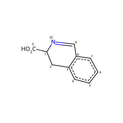 O=C(O)C1Cc2ccccc2C=N1